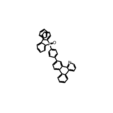 O=P(c1ccccc1)(c1ccc(-c2ccc3c4ccccc4c4cccnc4c3c2)cc1)c1ccccc1-c1ccccc1